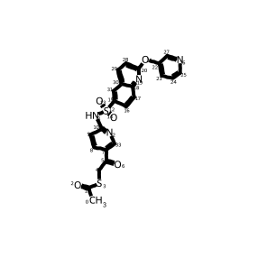 CC(=O)SCC(=O)c1ccc(NS(=O)(=O)c2ccc3nc(Oc4cccnc4)ccc3c2)nc1